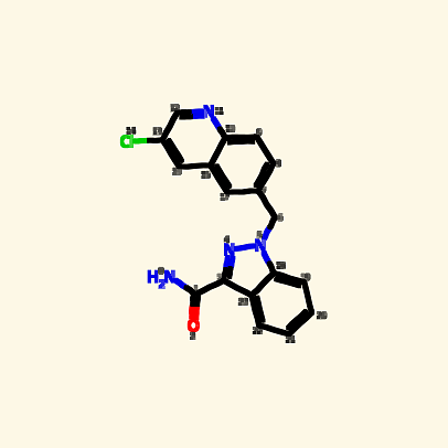 NC(=O)c1nn(Cc2ccc3ncc(Cl)cc3c2)c2ccccc12